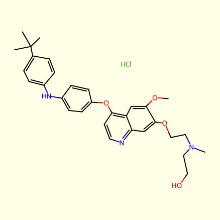 COc1cc2c(Oc3ccc(Nc4ccc(C(C)(C)C)cc4)cc3)ccnc2cc1OCCN(C)CCO.Cl